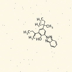 C=C(CC)c1cc(C(C)(C)CC)cc(-n2nc3ccccc3n2)c1O